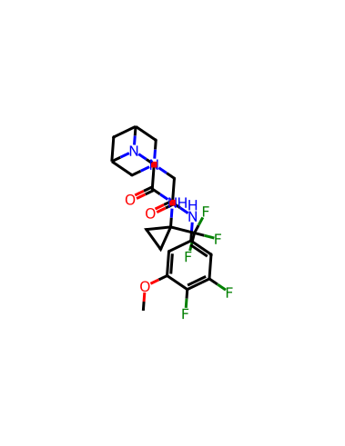 COc1cc(NC(=O)CN2CC3CC(C2)N3CC(=O)NC2(C(F)(F)F)CC2)cc(F)c1F